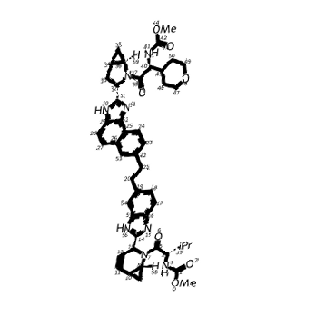 COC(=O)N[C@H](C(=O)N1[C@@H]2CC2C#C[C@H]1c1nc2ccc(CCc3ccc4c(ccc5[nH]c([C@@H]6CC7C[C@H]7N6C(=O)[C@@H](NC(=O)OC)C6CCOCC6)nc54)c3)cc2[nH]1)C(C)C